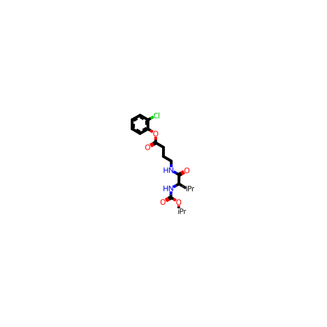 CC(C)OC(=O)NC(C(=O)NCCCC(=O)Oc1ccccc1Cl)C(C)C